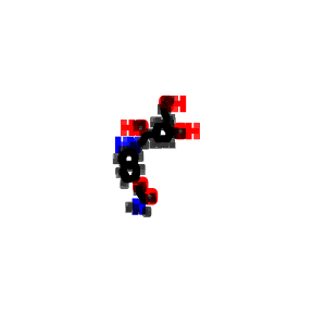 CN(C)C(=O)COc1ccc2c(c1)C[C@@H](NCC(O)c1ccc(O)c(CCO)c1)CC2